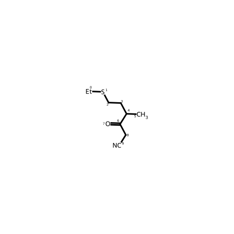 CCSCCC(C)C(=O)CC#N